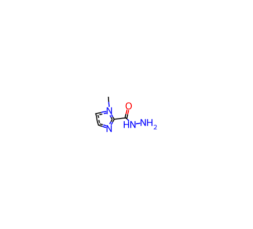 Cn1ccnc1C(=O)NN